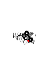 CC(C)(C)OC(=O)[C@]1(C)C[C@@H](C(C)(C)C)N(C(O[SiH3])(c2ccccc2)c2ccccc2)C1=O